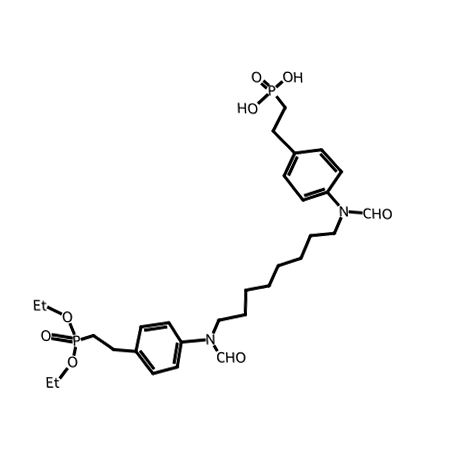 CCOP(=O)(CCc1ccc(N(C=O)CCCCCCCCN(C=O)c2ccc(CCP(=O)(O)O)cc2)cc1)OCC